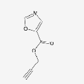 C#CCOC(=O)c1cnco1